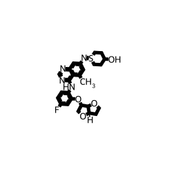 Cc1cc(N=S2CCC(O)CC2)cc2ncnc(Nc3ccc(F)cc3OC3CO[C@@H]4CCOC34)c12